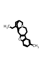 CCC1CC2CC3c4oc5ccc(C)cc5c4CCN(C2)C13